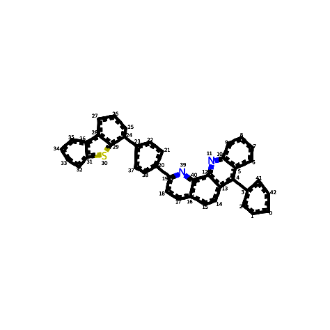 c1ccc(-c2c3ccccc3nc3c2ccc2ccc(-c4ccc(-c5cccc6c5sc5ccccc56)cc4)nc23)cc1